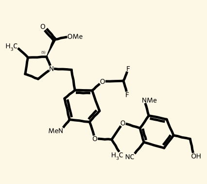 CNc1cc(CN2CCC(C)[C@H]2C(=O)OC)c(OC(F)F)cc1OC(C)Oc1c(C#N)cc(CO)cc1NC